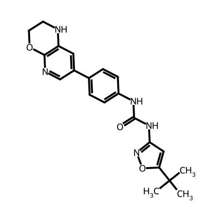 CC(C)(C)c1cc(NC(=O)Nc2ccc(-c3cnc4c(c3)NCCO4)cc2)no1